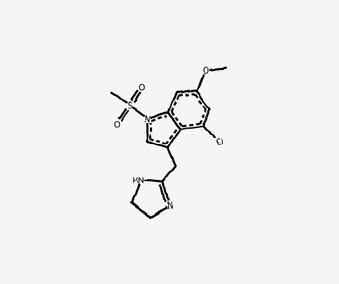 COc1cc(Cl)c2c(CC3=NCCN3)cn(S(C)(=O)=O)c2c1